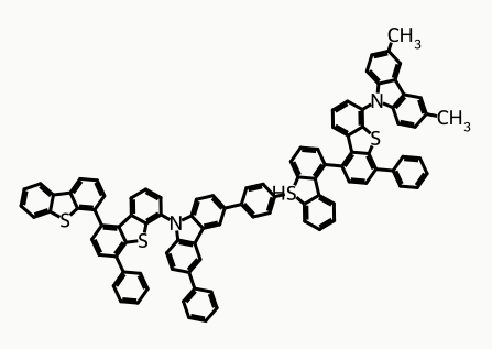 Cc1ccc2c(c1)c1cc(C)ccc1n2-c1cccc2c1sc1c(-c3ccccc3)ccc(-c3cccc4c3-c3ccccc3[SH]4c3ccc(-c4ccc5c(c4)c4cc(-c6ccccc6)ccc4n5-c4cccc5c4sc4c(-c6ccccc6)ccc(-c6cccc7c6sc6ccccc67)c45)cc3)c12